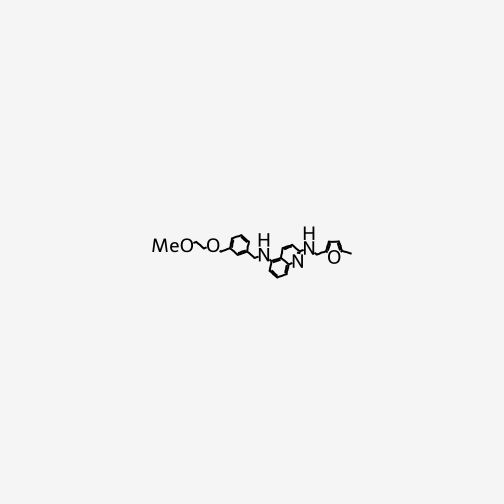 COCCOCc1cccc(CNc2cccc3nc(NCc4ccc(C)o4)ccc23)c1